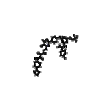 COC(=O)/C(CCNC(=O)C(=O)Nc1ccc(-n2cccn2)cc1)=N\C(=O)c1ccc(Nc2nc(NC3(c4ccc(Cl)cc4)CC3)nc(OCC(F)(F)F)n2)cc1